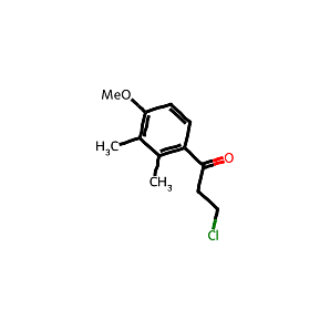 COc1ccc(C(=O)CCCl)c(C)c1C